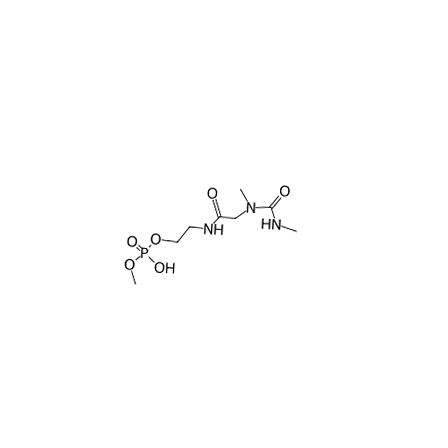 CNC(=O)N(C)CC(=O)NCCOP(=O)(O)OC